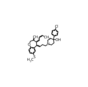 C=C1COc2ccc(SC)cc2C(=C/CCN2CCC(O)(c3ccc(Cl)cc3)CC2)/C1=C/C=C\C